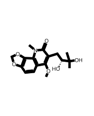 COc1c(C[C@@H](O)C(C)(C)O)c(=O)n(C)c2c3c(ccc12)OCO3